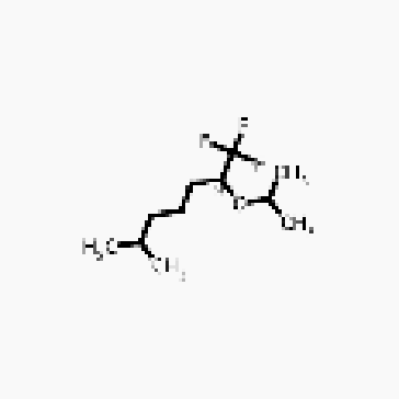 CC(C)CCC[C@H](OC(C)C)C(F)(F)F